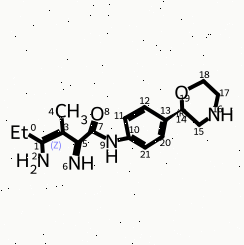 CC/C(N)=C(\C)C(=N)C(=O)Nc1ccc([C@@H]2CNCCO2)cc1